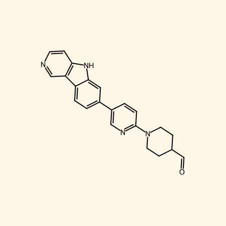 O=CC1CCN(c2ccc(-c3ccc4c(c3)[nH]c3ccncc34)cn2)CC1